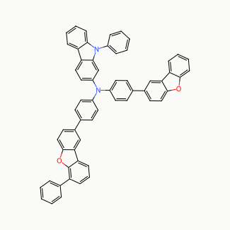 c1ccc(-c2cccc3c2oc2ccc(-c4ccc(N(c5ccc(-c6ccc7oc8ccccc8c7c6)cc5)c5ccc6c7ccccc7n(-c7ccccc7)c6c5)cc4)cc23)cc1